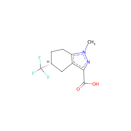 Cn1nc(C(=O)O)c2c1CC[C@@H](C(F)(F)F)C2